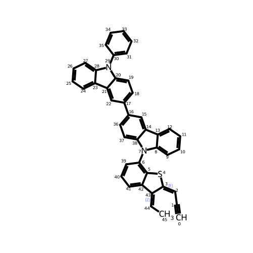 C#C/C=c1/sc2c(-n3c4ccccc4c4cc(-c5ccc6c(c5)c5ccccc5n6-c5ccccc5)ccc43)cccc2/c1=C/C